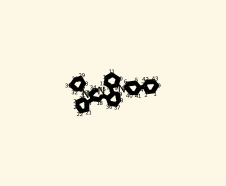 c1ccc(-c2ccc(-n3c4ccccc4c4c(-c5cc6c7ccccc7n(-c7ccccc7)c6cn5)cccc43)cc2)cc1